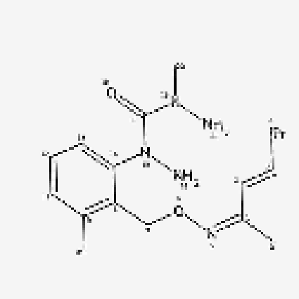 CC(/C=C/C(C)C)=NOCc1c(C)cccc1N(N)C(=O)N(C)N